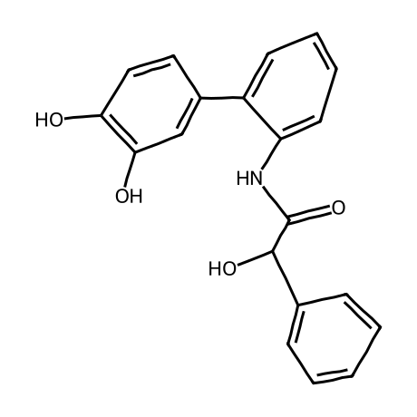 O=C(Nc1ccccc1-c1ccc(O)c(O)c1)C(O)c1ccccc1